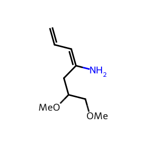 C=C/C=C(/N)CC(COC)OC